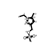 CCn1nc(COS(C)(=O)=O)cc1C